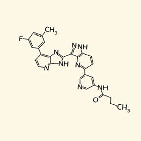 CCCC(=O)Nc1cncc(-c2ccc3[nH]nc(-c4nc5c(-c6cc(C)cc(F)c6)ccnc5[nH]4)c3n2)c1